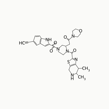 C#Cc1ccc2[nH]c(S(=O)(=O)N3CCN(C(=O)c4nc5c(s4)CNC(C)C5C)C(CC(=O)N4CCOCC4)C3)cc2c1